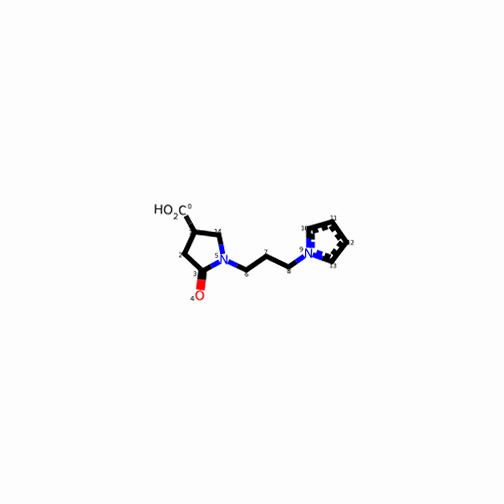 O=C(O)C1CC(=O)N(CCCn2cccc2)C1